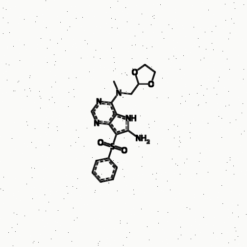 CN(CC1OCCO1)c1ncnc2c(S(=O)(=O)c3ccccc3)c(N)[nH]c12